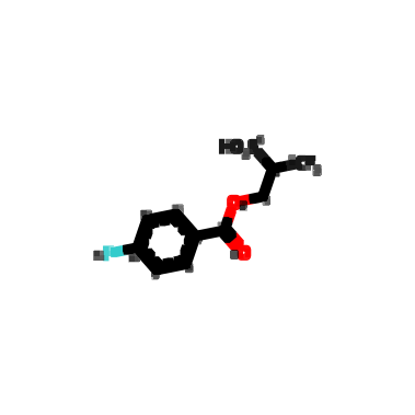 O=C(OCC(C(F)(F)F)S(=O)(=O)O)c1ccc(F)cc1